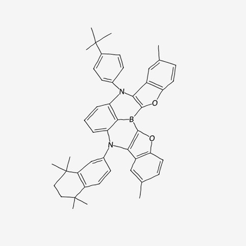 Cc1ccc2oc3c(c2c1)N(c1ccc(C(C)(C)C)cc1)c1cccc2c1B3c1oc3ccc(C)cc3c1N2c1ccc2c(c1)C(C)(C)CCC2(C)C